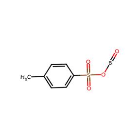 Cc1ccc(S(=O)(=O)OB=O)cc1